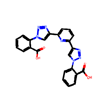 O=C(O)c1ccccc1-n1cc(-c2cccc(-c3cn(-c4ccccc4C(=O)O)nn3)n2)nn1